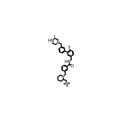 C[C@H]1CN(Cc2cccc(-c3cc(CNC(=O)c4cccc(CN5CCCCC5C[N+](C)(C)C)c4)ccc3F)c2)CCN1